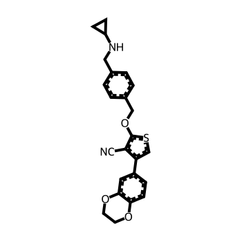 N#Cc1c(-c2ccc3c(c2)OCCO3)csc1OCc1ccc(CNC2CC2)cc1